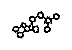 c1ccc(-c2nc(-c3ccccc3)nc(-c3cccc(-c4cccc(-n5c6ccccc6c6cc(-c7ccccc7)c7c(ccn7-c7ccccc7)c65)c4)c3)n2)cc1